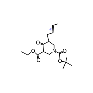 C/C=C/CC1CN(C(=O)OC(C)(C)C)CC(C(=O)OCC)C1=O